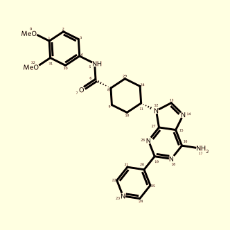 COc1ccc(NC(=O)[C@H]2CC[C@@H](n3cnc4c(N)nc(-c5ccncc5)nc43)CC2)cc1OC